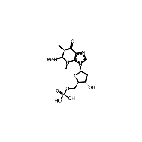 CNC1N(C)C(=O)c2ncn([C@H]3C[C@H](O)[C@@H](COP(=O)(O)O)O3)c2N1C